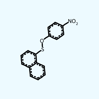 O=[N+]([O-])c1ccc(OSc2cccc3ccccc23)cc1